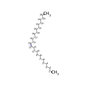 CCCCCCCCCCCCC/[C]=C\CCCCCCCCCCCCC